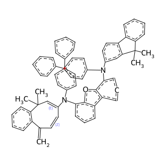 C=C1/C=C\C(N(c2ccc(-c3ccccc3)cc2)c2cccc3c2oc2c(N(c4ccc(-c5ccccc5)cc4)c4ccc5c(c4)C(C)(C)c4ccccc4-5)cccc23)=C/C(C)(C)c2ccccc21